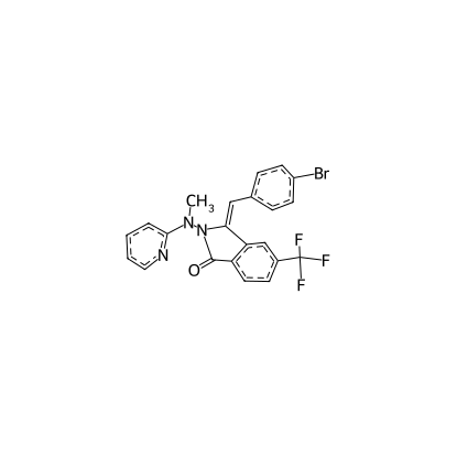 CN(c1ccccn1)N1C(=O)c2ccc(C(F)(F)F)cc2C1=Cc1ccc(Br)cc1